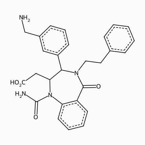 NCc1cccc(C2C(CC(=O)O)N(C(N)=O)c3ccccc3C(=O)N2CCc2ccccc2)c1